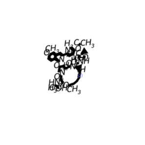 COc1ccc2c(O[C@@H]3C[C@H]4C(=O)N[C@]5(C(=O)NS(=O)(=O)C6(C)CC6)C[C@H]5/C=C\CC[C@@H](C)O[C@@H](C)[C@H](NC(=O)O)C(=O)N4C3)nc(-c3ccc(OC(C)C)cn3)cc2c1